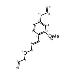 C=CCOCC=Cc1ccc(CC=C)cc1OC